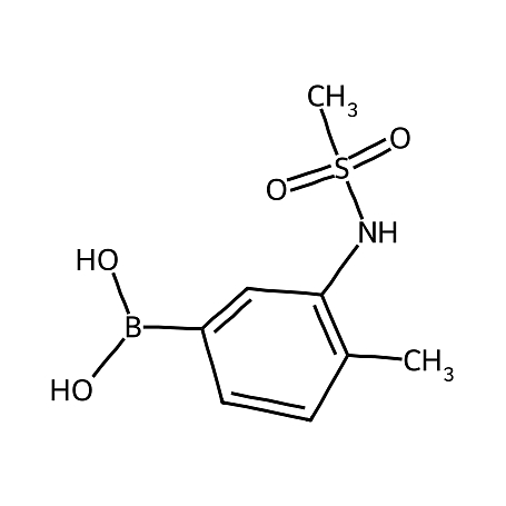 Cc1ccc(B(O)O)cc1NS(C)(=O)=O